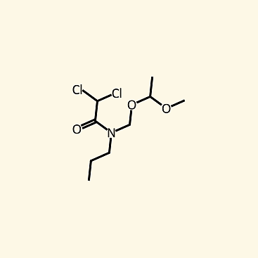 CCCN(COC(C)OC)C(=O)C(Cl)Cl